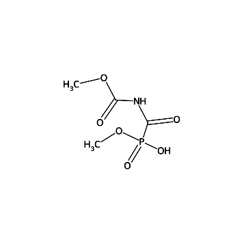 COC(=O)NC(=O)P(=O)(O)OC